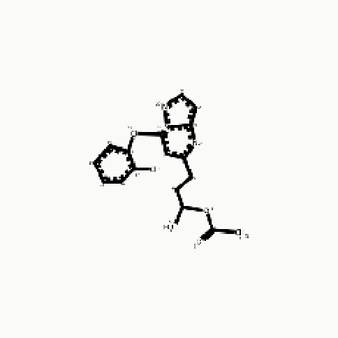 CC(=O)OC(C)CCc1cc(Oc2ccccc2Cl)n2nccc2n1